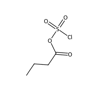 CCCC(=O)OS(=O)(=O)Cl